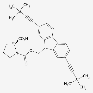 C[Si](C)(C)C#Cc1ccc2c(c1)C(COC(=O)N1CCC[C@H]1C(=O)O)c1cc(C#C[Si](C)(C)C)ccc1-2